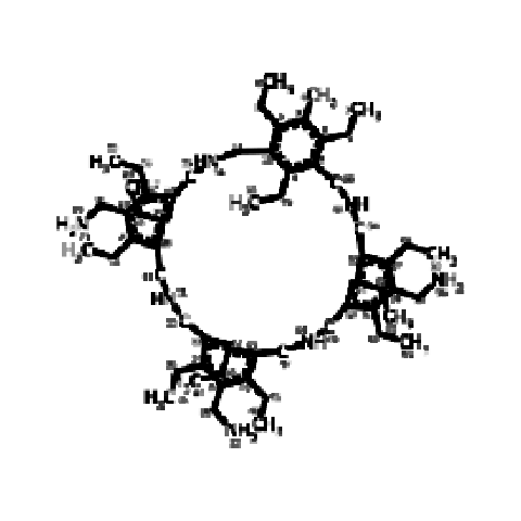 CCc1c(C)c(CC)c2c(CC)c1CNCc1c(CC)c(CN)c(CC)c(c1CC)CNCc1c(CC)c(CN)c(CC)c(c1CC)CNCc1c(CC)c(CN)c(CC)c(c1CC)CNC2